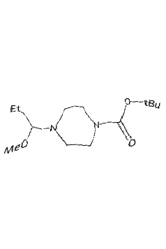 CCC(OC)N1CCN(C(=O)OC(C)(C)C)CC1